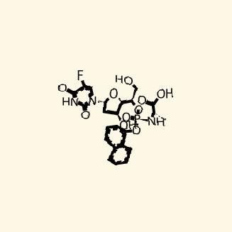 C[C@H](N[P@](=O)(Oc1cccc2ccccc12)O[C@H](CO)[C@H]1O[C@@H](n2cc(F)c(=O)[nH]c2=O)C[C@@H]1O)C(=O)O